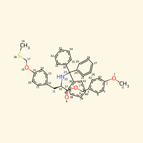 COc1ccc(COC(=O)[C@@H](Cc2ccc(OCSC)cc2)NC(C2=C=C=CC=C2)(c2ccccc2)c2ccccc2)cc1